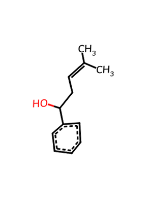 CC(C)=CCC(O)c1ccccc1